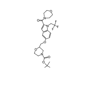 CC(C)(C)OC(=O)N1CCOC(COc2ccc3c(c2)cc(C(=O)N2CCOCC2)n3CC(F)(F)F)C1